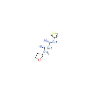 C1CCOC1.N=C(N)NC(=N)Nc1ccsc1